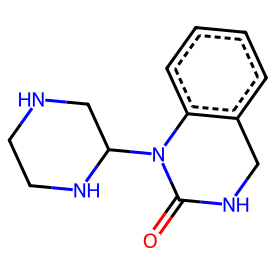 O=C1NCc2ccccc2N1C1CNCCN1